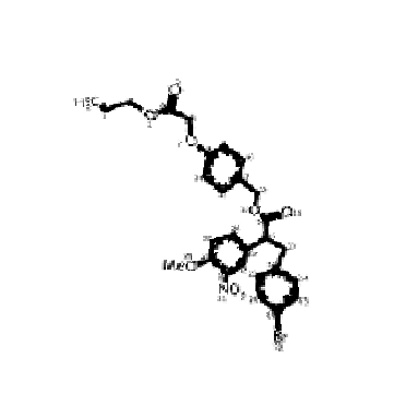 C=CCOC(=O)COc1ccc(COC(=O)C(Cc2ccc(Br)cc2)c2ccc(OC)c([N+](=O)[O-])c2)cc1